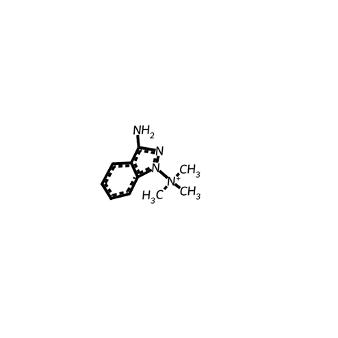 C[N+](C)(C)n1nc(N)c2ccccc21